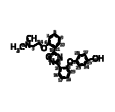 CN(C)CCOc1ccccc1-c1nc(-c2ccccc2Oc2ccc(O)cc2)no1